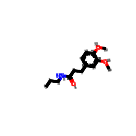 [CH2]CCNC(=O)CCc1ccc(OC)c(OC)c1